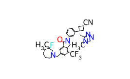 Cn1cnnc1C[C@]1(c2cccc(N3Cc4c(cc(CN5CCCCC(C)(F)C5)cc4C(F)(F)F)C3=O)c2)C[C@H](C#N)C1